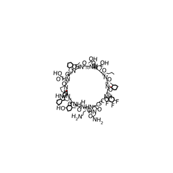 CCCC[C@H]1C(=O)C2C[C@H](O)C[C@@H]2C(=O)N[C@@H](CC(=O)O)C(=O)N[C@@H](C(C)C)C(=O)N(C)[C@@H](Cc2ccccc2)C(=O)N[C@@H](CCC(=O)O)C(=O)N2CCCC[C@@H]2C(=O)N[C@@H](Cc2c[nH]c3ccccc23)C(=O)N[C@@H](Cc2ccc(O)cc2)C(=O)N[C@@H](CCCN)C(=O)N[C@H](C(=O)NCC(N)=O)CSCC(=O)N[C@@H](Cc2cc(F)c(F)c(F)c2)C(=O)N(C)[C@@H](Cc2ccccc2)C(=O)N1C